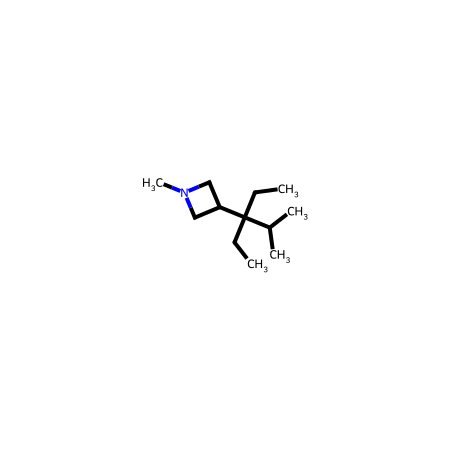 CCC(CC)(C(C)C)C1CN(C)C1